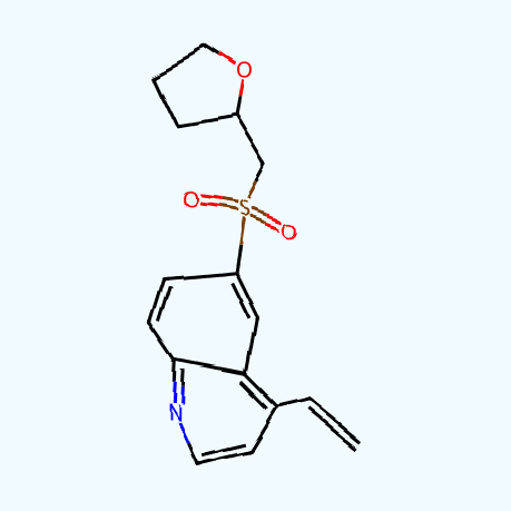 C=Cc1ccnc2ccc(S(=O)(=O)CC3CCCO3)cc12